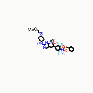 COCCN(C)C1CCC(Nc2ncc3cc(-c4cc(F)c(NS(=O)(=O)Cc5ccccc5)c(F)c4F)c(=O)n(C(C)C)c3n2)CC1